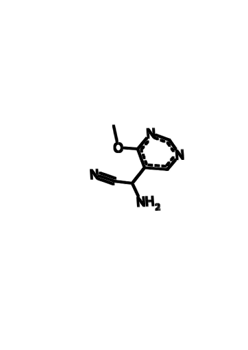 COc1ncncc1C(N)C#N